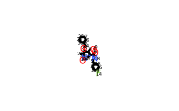 COCc1c(C(=O)N(C)Cc2ccc(F)cc2)c[n+]([O-])c(C)c1OCc1ccccc1